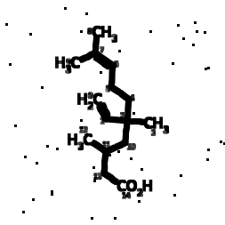 C=CC(C)(CCC=C(C)C)CC(C)CC(=O)O